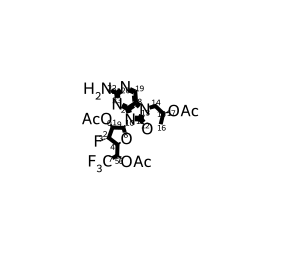 CC(=O)O[C@@H]1[C@@H](F)[C@@H]([C@@H](OC(C)=O)C(F)(F)F)O[C@H]1n1c(=O)n(C[C@@H](C)OC(C)=O)c2cnc(N)nc21